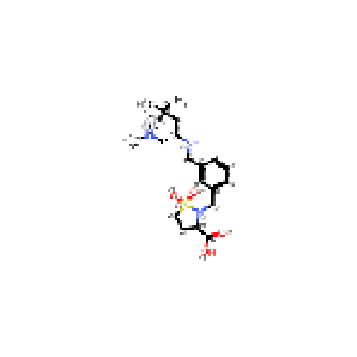 CN(C)C[C@H](CC(C)(C)C)NCc1cccc(CN2C(C(=O)O)CCS2(=O)=O)c1